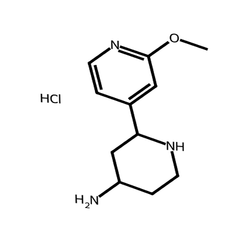 COc1cc(C2CC(N)CCN2)ccn1.Cl